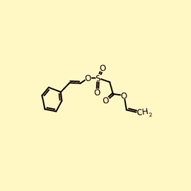 C=COC(=O)CS(=O)(=O)OC=Cc1ccccc1